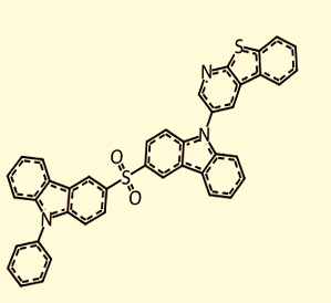 O=S(=O)(c1ccc2c(c1)c1ccccc1n2-c1ccccc1)c1ccc2c(c1)c1ccccc1n2-c1cnc2sc3ccccc3c2c1